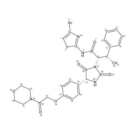 CC(=O)c1csc(NC(=O)[C@H]([C@@H](C)c2ccccc2)N2C(=O)N[C@H](c3ccc(OCC(=O)N4CCOCC4)cc3)C2=O)n1